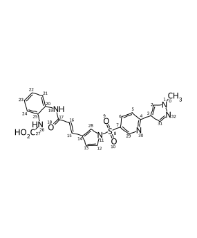 Cn1cc(-c2ccc(S(=O)(=O)n3ccc(C=CC(=O)Nc4ccccc4NC(=O)O)c3)cn2)cn1